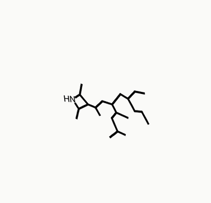 CCCC(CC)CC(CC(C)C1C(C)NC1C)C(C)CC(C)C